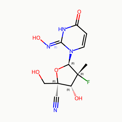 C[C@]1(F)[C@H](n2ccc(=O)[nH]/c2=N\O)O[C@](C#N)(CO)[C@H]1O